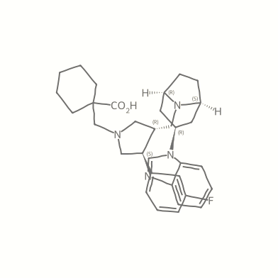 O=C(O)C1(CN2C[C@H](CN3[C@@H]4CC[C@H]3C[C@@H](n3cnc5ccccc53)C4)[C@@H](c3cccc(F)c3)C2)CCCCC1